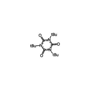 CC(C)(C)n1c(=O)n(C(C)(C)C)c(=O)n(C(C)(C)C)c1=O